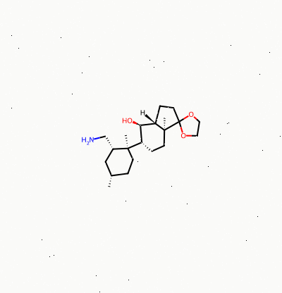 C[C@H]1CC[C@](C)([C@H]2CC[C@@]3(C)[C@@H](CCC34OCCO4)[C@@H]2O)[C@@H](CN)C1